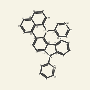 c1ccc(-n2c3ccccc3c3c4c(ccc32)-c2cccc3cccc(c23)N4c2cccnc2)nc1